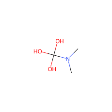 CN(C)C(O)(O)O